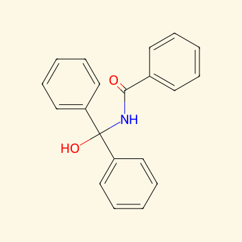 O=C(NC(O)(c1ccccc1)c1ccccc1)c1ccccc1